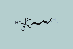 CC=CC=COP(=O)(O)O